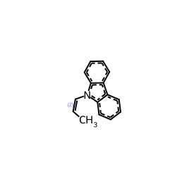 C/C=C\n1c2ccccc2c2ccccc21